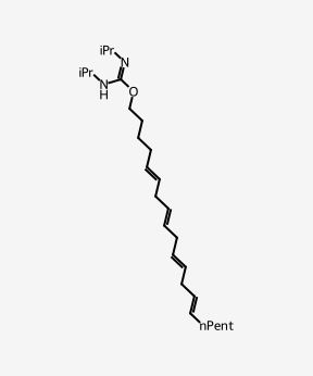 CCCCCC=CCC=CCC=CCC=CCCCCOC(=NC(C)C)NC(C)C